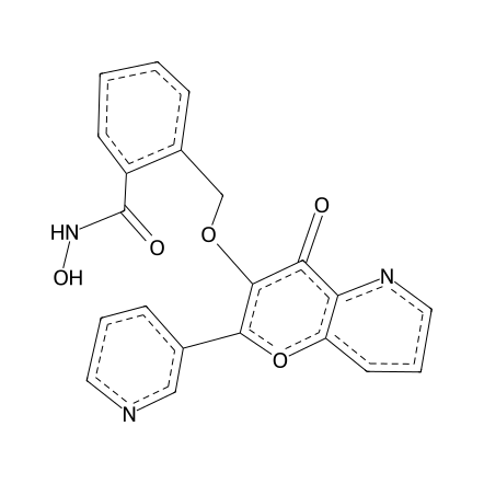 O=C(NO)c1ccccc1COc1c(-c2cccnc2)oc2cccnc2c1=O